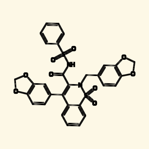 O=C(NS(=O)(=O)c1ccccc1)C1=C(c2ccc3c(c2)OCO3)c2ccccc2S(=O)(=O)N1Cc1ccc2c(c1)OCO2